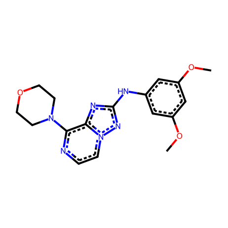 COc1cc(Nc2nc3c(N4CCOCC4)nccn3n2)cc(OC)c1